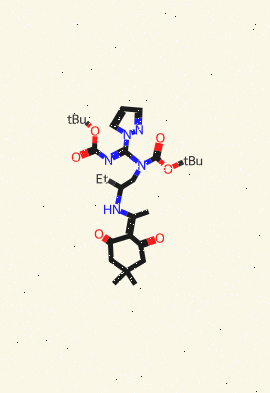 CCC(CN(C(=O)OC(C)(C)C)C(=NC(=O)OC(C)(C)C)n1cccn1)NC(C)=C1C(=O)CC(C)(C)CC1=O